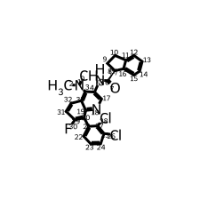 CN(C)c1c(NC(=O)[C@H]2CCc3ccccc32)cnc2c(-c3cccc(Cl)c3Cl)c(F)ccc12